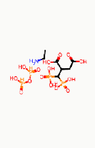 CCN.O=C(O)CC(C(=O)O)C(P(=O)(O)O)P(=O)(O)O.O=[PH](O)O[PH](=O)O